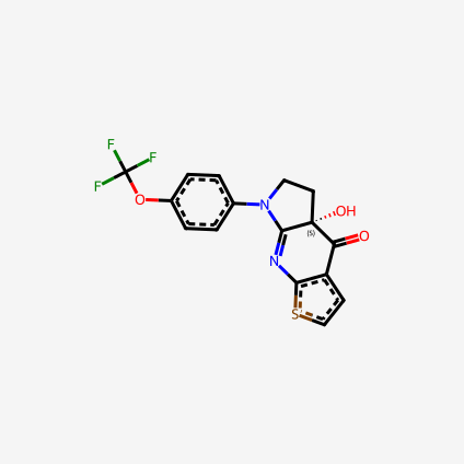 O=C1c2ccsc2N=C2N(c3ccc(OC(F)(F)F)cc3)CC[C@@]12O